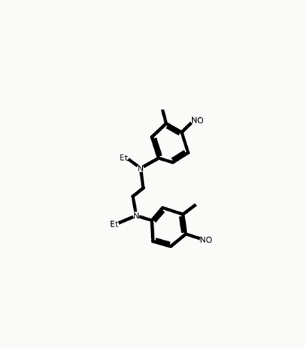 CCN(CCN(CC)c1ccc(N=O)c(C)c1)c1ccc(N=O)c(C)c1